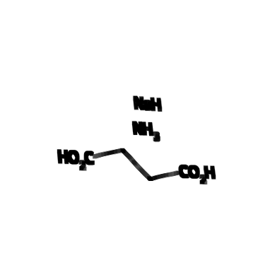 N.O=C(O)CCC(=O)O.[NaH]